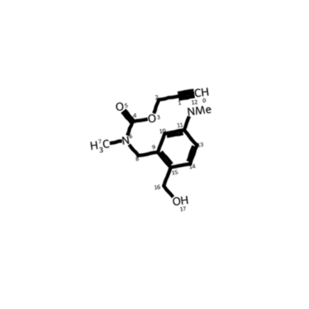 C#CCOC(=O)N(C)Cc1cc(NC)ccc1CO